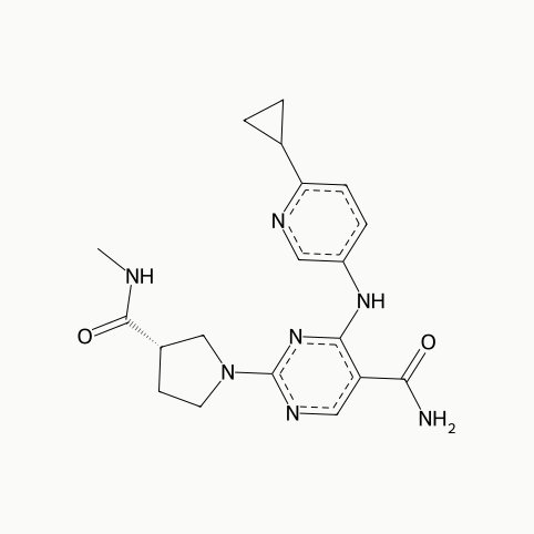 CNC(=O)[C@H]1CCN(c2ncc(C(N)=O)c(Nc3ccc(C4CC4)nc3)n2)C1